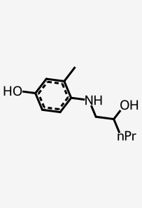 CCCC(O)CNc1ccc(O)cc1C